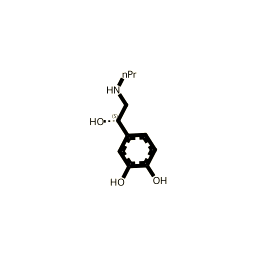 CCCNC[C@@H](O)c1ccc(O)c(O)c1